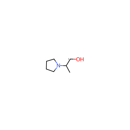 CC([C]O)N1CCCC1